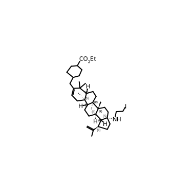 C=C(C)[C@@H]1CC[C@]2(NCCI)CC[C@]3(C)[C@H](CC[C@@H]4[C@@]5(C)CC=C(CC6CCC(C(=O)OCC)CC6)C(C)(C)[C@@H]5CC[C@]43C)[C@@H]12